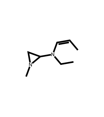 C/C=C\N(CC)C1CN1C